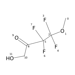 COC(F)(F)C(F)(F)C(=O)CO